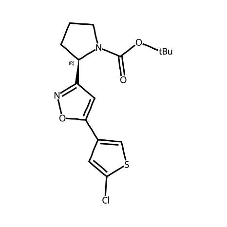 CC(C)(C)OC(=O)N1CCC[C@@H]1c1cc(-c2csc(Cl)c2)on1